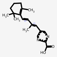 CC1=C(/C=C/C(C)=C/c2cnc(C(=O)O)nc2)C(C)(C)CCC1